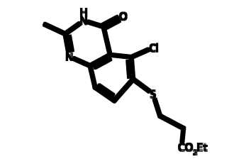 CCOC(=O)CCSc1ccc2nc(C)[nH]c(=O)c2c1Cl